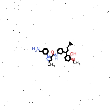 COc1cccc(C(CCC2CC2)c2cccc(NC(=O)c3cc(C)nn3-c3cccc(CN)c3)c2)c1O